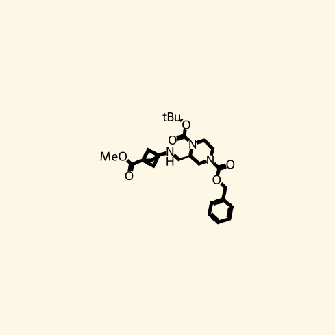 COC(=O)C12CC(NC[C@@H]3CN(C(=O)OCc4ccccc4)CCN3C(=O)OC(C)(C)C)(C1)C2